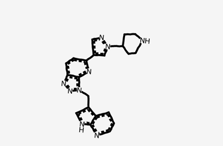 c1cnc2[nH]cc(Cn3nnc4ccc(-c5cnn(C6CCNCC6)c5)nc43)c2c1